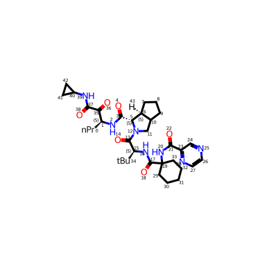 CCC[C@H](NC(=O)[C@@H]1[C@H]2CCCC2CN1C(=O)[C@@H](NC(=O)C1(NC(=O)c2cnccn2)CCCCC1)C(C)(C)C)C(=O)C(=O)NC1CC1